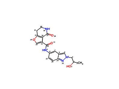 CC(O)Cn1cc2cc(NC(=O)c3coc4c3C(=O)NCC4)ccc2n1